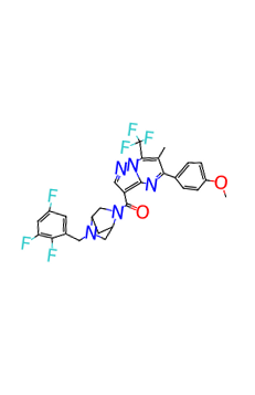 COc1ccc(-c2nc3c(C(=O)N4CC5CC4CN5Cc4cc(F)cc(F)c4F)cnn3c(C(F)(F)F)c2C)cc1